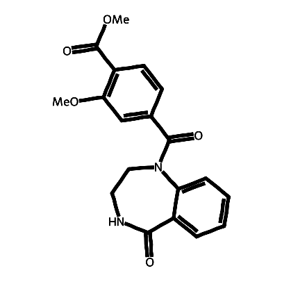 COC(=O)c1ccc(C(=O)N2CCNC(=O)c3ccccc32)cc1OC